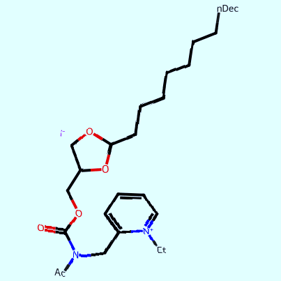 CCCCCCCCCCCCCCCCCC1OCC(COC(=O)N(Cc2cccc[n+]2CC)C(C)=O)O1.[I-]